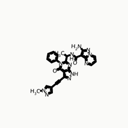 CC(NC(=O)c1c(N)nn2cccnc12)c1nc2[nH]nc(C#Cc3cnn(C)c3)c2c(=O)n1-c1ccccc1